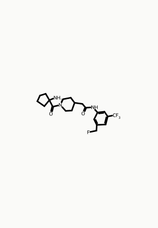 NC1(C(=O)N2CCC(CC(=O)Nc3cc(CF)cc(C(F)(F)F)c3)CC2)CCCC1